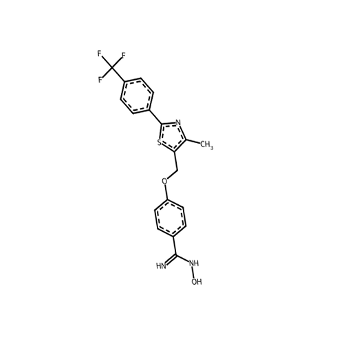 Cc1nc(-c2ccc(C(F)(F)F)cc2)sc1COc1ccc(C(=N)NO)cc1